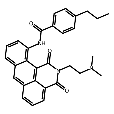 CCCc1ccc(C(=O)Nc2cccc3cc4cccc5c4c(c23)C(=O)N(CCN(C)C)C5=O)cc1